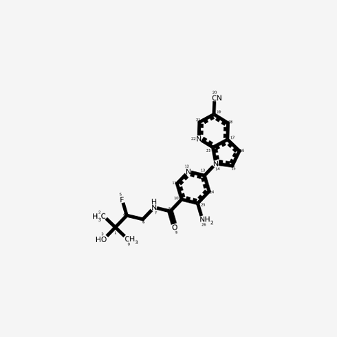 CC(C)(O)C(F)CNC(=O)c1cnc(-n2ccc3cc(C#N)cnc32)cc1N